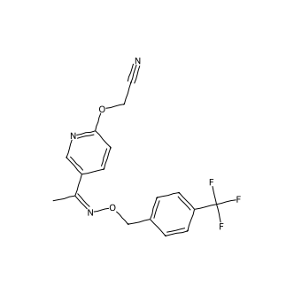 CC(=NOCc1ccc(C(F)(F)F)cc1)c1ccc(OCC#N)nc1